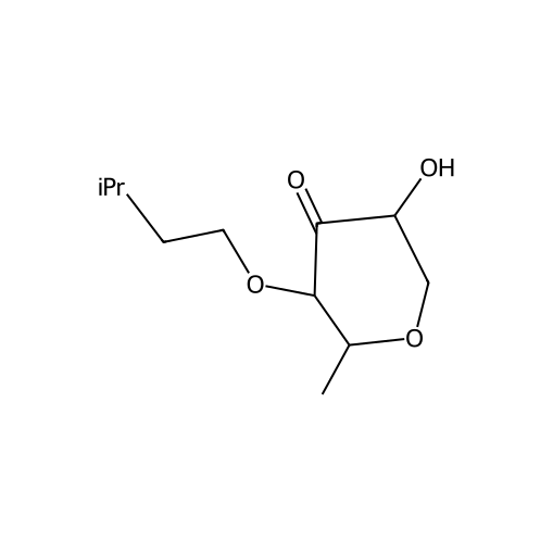 CC(C)CCOC1C(=O)C(O)COC1C